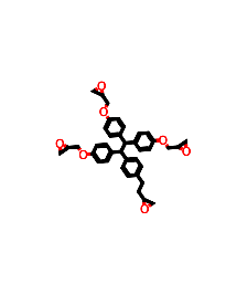 c1cc(C(c2ccc(OCC3CO3)cc2)C(c2ccc(OCC3CO3)cc2)c2ccc(OCC3CO3)cc2)ccc1CCC1CO1